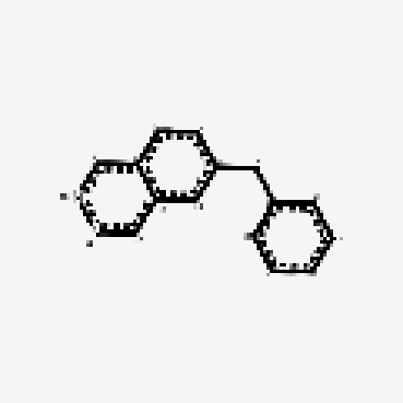 c1ccc(Cc2ccc3cnncc3c2)cc1